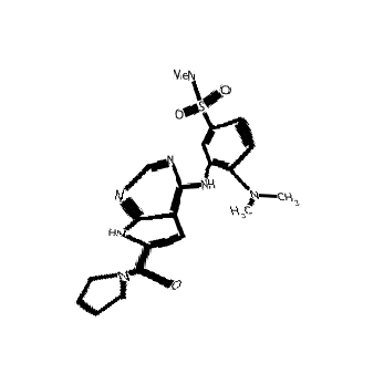 CNS(=O)(=O)c1ccc(N(C)C)c(Nc2ncnc3[nH]c(C(=O)N4CCCC4)cc23)c1